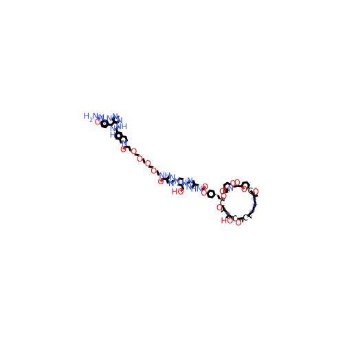 CO[C@H]1CC2CCCC(O2)C(=O)C(=O)N2CCCC[C@H]2C(=O)O[C@H](CC[C@H]2CC[C@H](OC(=O)NCc3cnc(N4CCN(c5ncc(C(=O)NCCOCCOCCOCCOCCC(=O)N6CCc7cc(CNc8ncnc(N)c8C(=N)c8ccc9oc(N)nc9c8)ccc7C6)cn5)CC4CO)nc3)CC2)CC(=O)[C@H](C)/C=C(\C)[C@@H](O)CC(=O)[C@H](C)C[C@H](C)/C=C/C=C/C=C/1C